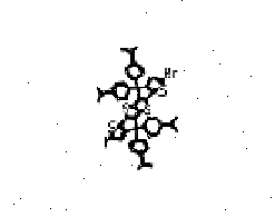 CC(C)c1ccc(C2(C3=CCC(C(C)C)C=C3)c3cc(I)sc3-c3sc4c5c(sc4c32)-c2sc(Br)cc2C5(c2ccc(C(C)C)cc2)c2ccc(C(C)C)cc2)cc1